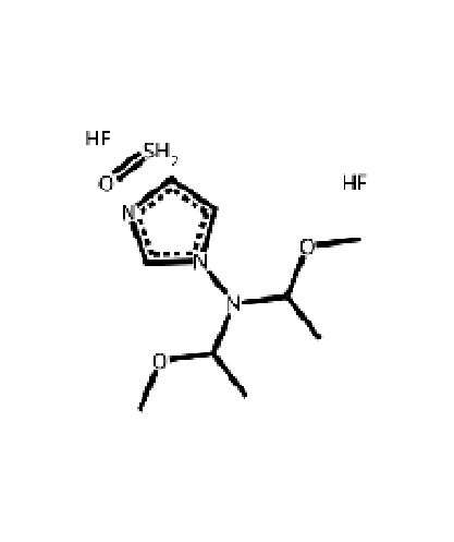 COC(C)N(C(C)OC)n1ccnc1.F.F.O=[SH2]